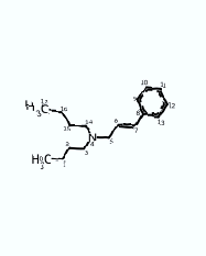 CCCCN(C/C=C/c1ccccc1)CCCC